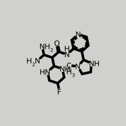 CN1CCNC1c1ccncc1NC(=O)C(C(N)N)C1NCC(F)CN1